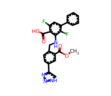 COC(=O)c1cc(-c2c[nH]nn2)ccc1CNc1c(F)c(-c2ccccc2)cc(F)c1C(=O)O